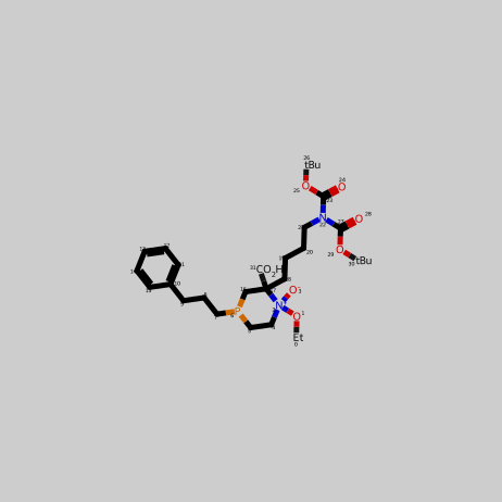 CCO[N+]1([O-])CCP(CCCc2ccccc2)CC1(CCCCN(C(=O)OC(C)(C)C)C(=O)OC(C)(C)C)C(=O)O